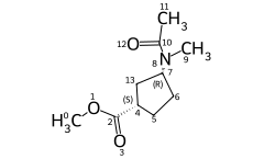 COC(=O)[C@H]1CC[C@@H](N(C)C(C)=O)C1